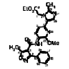 CCOC(=O)Cn1c(-c2ccc(NC(=O)c3c(-c4ccccc4)noc3C)c(OC)n2)cnc1C